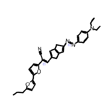 CCCc1ccc(-c2ccc(/C(C#N)=C/C3=CC4=C(C=C(/N=N/c5ccc(N(CC)CC)cc5)C4)C3)o2)o1